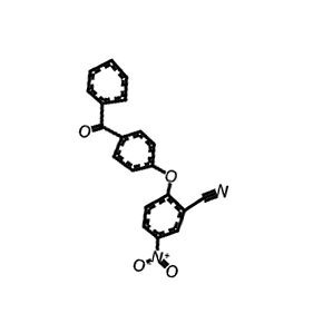 N#Cc1cc([N+](=O)[O-])ccc1Oc1ccc(C(=O)c2ccccc2)cc1